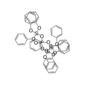 O=P(O[Si](Oc1ccccc1)(Oc1ccccc1)Oc1ccccc1)(O[Si](Oc1ccccc1)(Oc1ccccc1)Oc1ccccc1)O[Si](Oc1ccccc1)(Oc1ccccc1)Oc1ccccc1